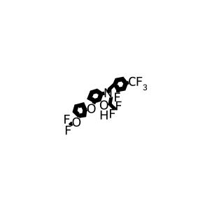 O[C@H](CN(Cc1ccc(C(F)(F)F)cc1F)c1cccc(Oc2cccc(OC(F)F)c2)c1)C(F)F